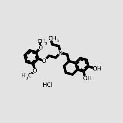 CCCN(CCOc1c(OC)cccc1OC)CC1CCCc2c1ccc(O)c2O.Cl